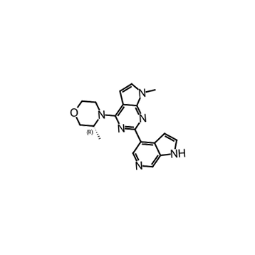 C[C@@H]1COCCN1c1nc(-c2cncc3[nH]ccc23)nc2c1ccn2C